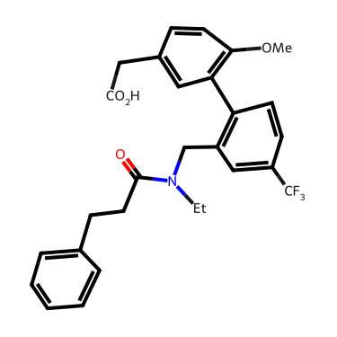 CCN(Cc1cc(C(F)(F)F)ccc1-c1cc(CC(=O)O)ccc1OC)C(=O)CCc1ccccc1